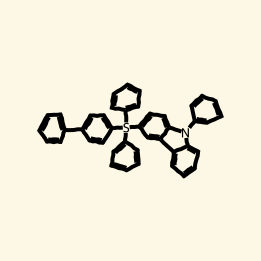 c1ccc(-c2ccc(S(c3ccccc3)(c3ccccc3)c3ccc4c(c3)c3ccccc3n4-c3ccccc3)cc2)cc1